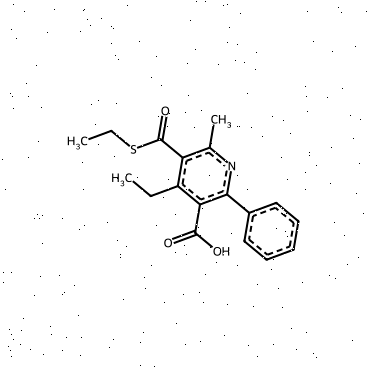 CCSC(=O)c1c(C)nc(-c2ccccc2)c(C(=O)O)c1CC